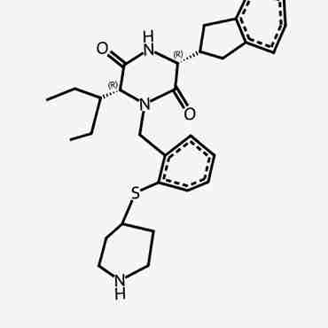 CCC(CC)[C@@H]1C(=O)N[C@H](C2Cc3ccccc3C2)C(=O)N1Cc1ccccc1SC1CCNCC1